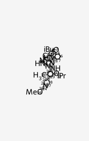 CCC(C)S(=O)(=O)c1ccccc1Nc1nc(Nc2cc(C)c(C3CCN(CCOC)CC3)cc2OC(C)C)nc2[nH]nc(C)c12